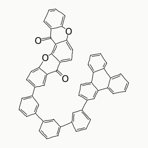 O=c1c2cc(-c3cccc(-c4cccc(-c5cccc(-c6ccc7c8ccccc8c8ccccc8c7c6)c5)c4)c3)ccc2oc2c1ccc1oc3ccccc3c(=O)c12